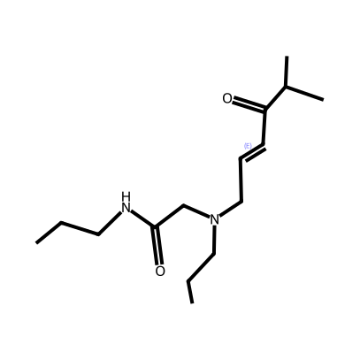 CCCNC(=O)CN(C/C=C/C(=O)C(C)C)CCC